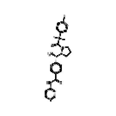 CC(C)(C(=O)N1CCC[C@H]1[C@H](N)c1ccc(C(=O)Nc2ccncc2)cc1)c1ccc(F)cc1